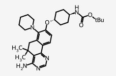 CC(C)(C)OC(=O)N[C@H]1CC[C@H](Oc2ccc3c(c2N2CCCCC2)CC(C)(C)c2c(N)ncnc2-3)CC1